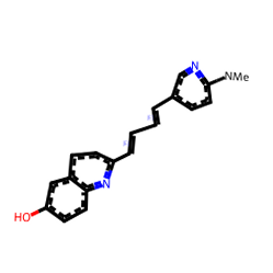 [11CH3]Nc1ccc(/C=C/C=C/c2ccc3cc(O)ccc3n2)cn1